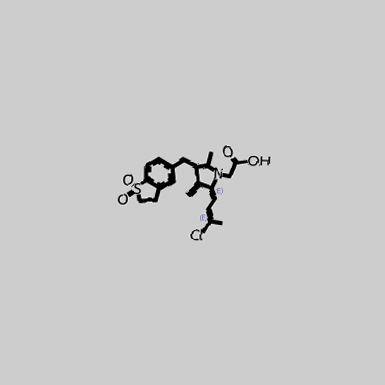 C=C1/C(=C\C=C(/C)Cl)N(CC(=O)O)C(C)C1Cc1ccc2c(c1)CCS2(=O)=O